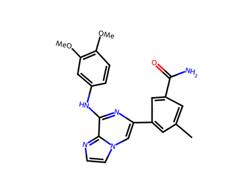 COc1ccc(Nc2nc(-c3cc(C)cc(C(N)=O)c3)cn3ccnc23)cc1OC